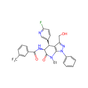 CCN1C(=O)[C@@H](NC(=O)c2cccc(C(F)(F)F)c2)[C@@H](c2ccc(F)nc2)c2c(CO)nn(-c3ccccc3)c21